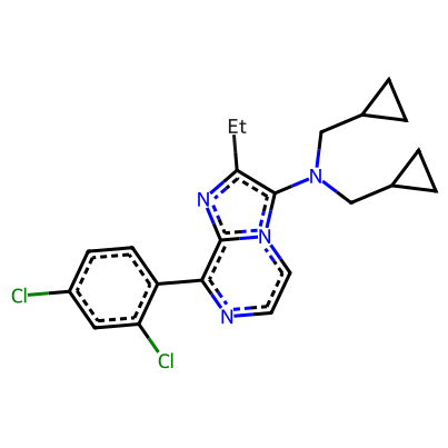 CCc1nc2c(-c3ccc(Cl)cc3Cl)nccn2c1N(CC1CC1)CC1CC1